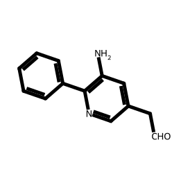 Nc1cc(CC=O)cnc1-c1ccccc1